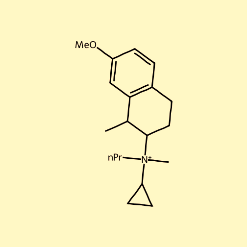 CCC[N+](C)(C1CC1)C1CCc2ccc(OC)cc2C1C